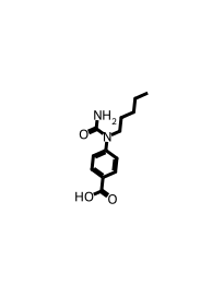 CCCCCN(C(N)=O)c1ccc(C(=O)O)cc1